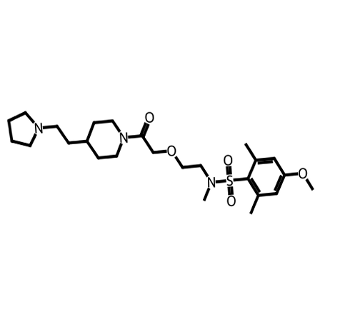 COc1cc(C)c(S(=O)(=O)N(C)CCOCC(=O)N2CCC(CCN3CCCC3)CC2)c(C)c1